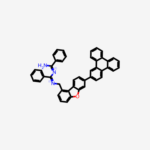 N/C(=N\C(=N/Cc1cccc2oc3cc(-c4ccc5c6ccccc6c6ccccc6c5c4)ccc3c12)c1ccccc1)c1ccccc1